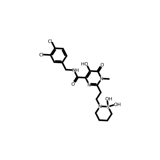 Cn1c(CCN2CCCCS2(O)O)nc(C(=O)NCc2ccc(Cl)c(Cl)c2)c(O)c1=O